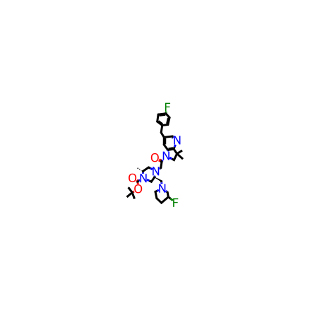 C[C@@H]1CN(CC(=O)N2CC(C)(C)c3ncc(Cc4ccc(F)cc4)cc32)[C@@H](CN2CCCC(F)C2)CN1C(=O)OC(C)(C)C